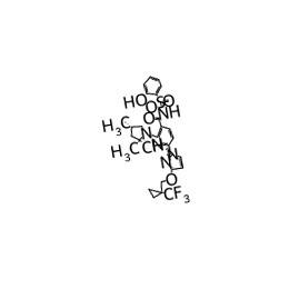 C[C@@H]1CN(c2nc(-n3ccc(OCC4(C(F)(F)F)CC4)n3)ccc2C(=O)NS(=O)(=O)c2ccccc2O)C(C)(C)C1